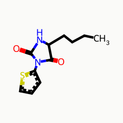 CCCCC1NC(=O)N(c2cccs2)C1=O